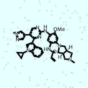 C=CC(=O)Nc1cc(Nc2ncc(-c3cnn(C)c3)c(-c3cn(C4CC4)c4ccccc34)n2)c(OC)cc1N1C[C@H]2CN(C)C[C@H]2C1